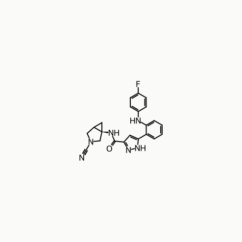 N#CN1CC2C[C@]2(NC(=O)c2cc(-c3ccccc3Nc3ccc(F)cc3)[nH]n2)C1